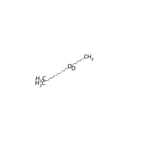 CCCCCCCC(=O)OCCCCCCCCCCCC(C)C